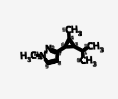 CC(C)C1C(C)C1c1ccn(C)n1